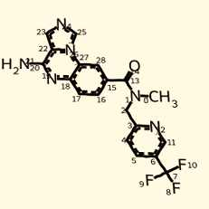 CN(Cc1ccc(C(F)(F)F)cn1)C(=O)c1ccc2nc(N)c3cncn3c2c1